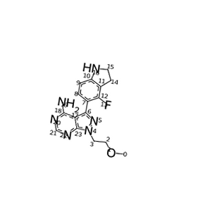 COCCn1nc(-c2ccc3c(c2F)CCN3)c2c(N)ncnc21